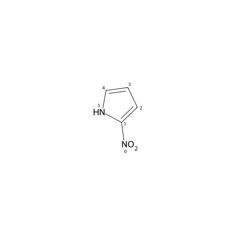 O=[N+]([O-])c1ccc[nH]1